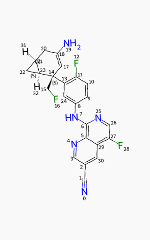 N#Cc1cnc2c(Nc3ccc(F)c([C@@]4(CF)C=C(N)C[C@@H]5C[C@@H]54)c3)ncc(F)c2c1